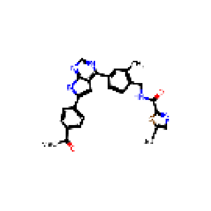 COC(=O)c1ccc(-c2cc3c(-c4ccc(CNC(=O)c5ncc(C(C)(C)C)s5)c(C)c4)ncnc3[nH]2)cc1